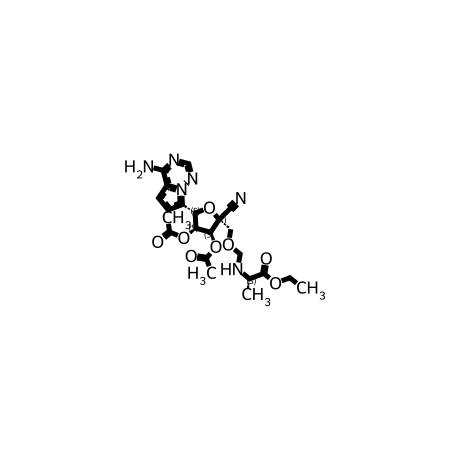 CCOC(=O)[C@H](C)NCOC[C@@]1(C#N)O[C@@H](c2ccc3c(N)ncnn23)[C@H](OC(C)=O)[C@@H]1OC(C)=O